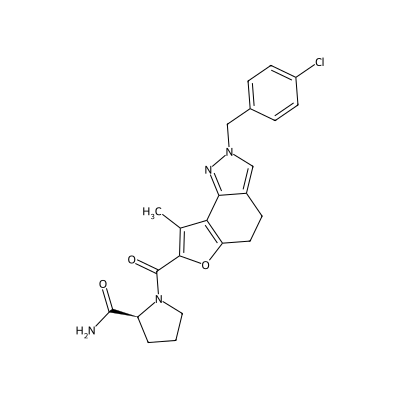 Cc1c(C(=O)N2CCC[C@H]2C(N)=O)oc2c1-c1nn(Cc3ccc(Cl)cc3)cc1CC2